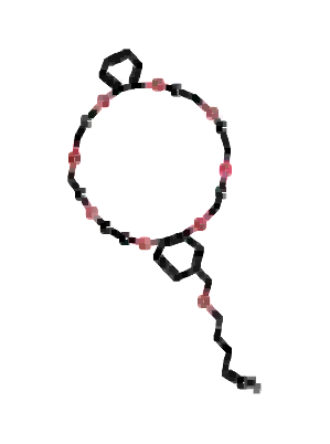 C=CCCCOCc1ccc2c(c1)OCCOCCOCCOc1ccccc1OCCOCCOCCO2